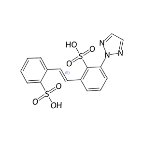 O=S(=O)(O)c1ccccc1/C=C/c1cccc(-n2nccn2)c1S(=O)(=O)O